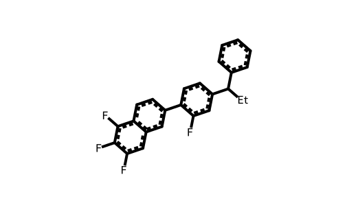 CCC(c1ccccc1)c1ccc(-c2ccc3c(F)c(F)c(F)cc3c2)c(F)c1